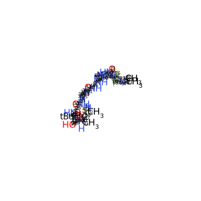 Cc1ncsc1-c1ccc([C@H](C)NC(=O)[C@@H]2C[C@@H](O)CN2C(=O)[C@@H](NC(=O)CCC(=O)NCCN2CC[C@@]3(CCN(CC(=O)NCCCNc4cc(N5CCC6(CC5)CN(c5cc(F)c(CN7CCC(C)(C)CC7)cc5F)CC(=O)N6)ncn4)C3)C2)C(C)(C)C)cc1